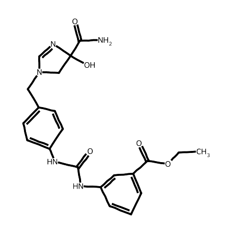 CCOC(=O)c1cccc(NC(=O)Nc2ccc(CN3C=NC(O)(C(N)=O)C3)cc2)c1